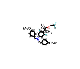 COc1ccc(CN(Cc2ccc(OC)cc2)c2cc(F)c(C(C)(C)COCC(F)F)c(F)c2)cc1